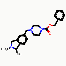 CC(C)(C)C1c2ccc(CN3CCN(C(=O)OCc4ccccc4)CC3)cc2CN1C(=O)O